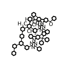 Cc1c(-c2ccccc2)c(C)c(-c2cccc(-c3nc(-c4ccccc4)nc(-n4c5cc(C(=O)c6ccccc6)ccc5c5cc6c(cc54)C(C)(C)c4ccccc4-6)n3)c2)c(C)c1-c1cccc(-c2ccc(-c3cc(-c4cccc(-c5ccccc5)c4)cc(-c4cccc(-c5nc(-c6ccccc6)nc(-n6c7ccccc7c7cc8c(cc76)C(c6ccccc6)(c6ccccc6)c6ccccc6-8)n5)c4)c3)cc2)c1